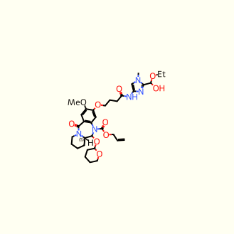 C=CCOC(=O)N1c2cc(OCCCC(=O)Nc3cn(C)c(C(O)OCC)n3)c(OC)cc2C(=O)N2CCCC[C@H]2C1OC1CCCCO1